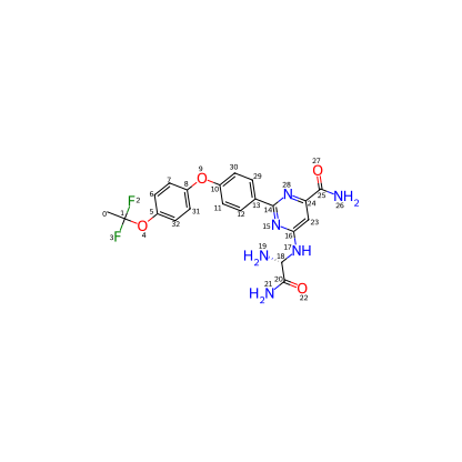 CC(F)(F)Oc1ccc(Oc2ccc(-c3nc(N[C@@H](N)C(N)=O)cc(C(N)=O)n3)cc2)cc1